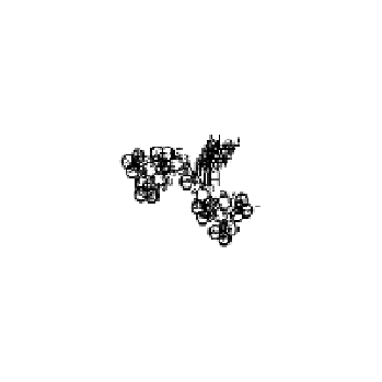 O=C(Nc1cccc(-c2ccc(S(=O)(=O)[O-])c3cc(S(=O)(=O)[O-])cc(S(=O)(=O)[O-])c23)c1)Nc1cccc(-c2ccc(S(=O)(=O)[O-])c3cc(S(=O)(=O)[O-])cc(S(=O)(=O)[O-])c23)c1.[Na+].[Na+].[Na+].[Na+].[Na+].[Na+]